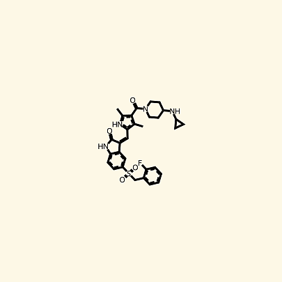 Cc1[nH]c(/C=C2\C(=O)Nc3ccc(S(=O)(=O)Cc4ccccc4F)cc32)c(C)c1C(=O)N1CCC(NC2CC2)CC1